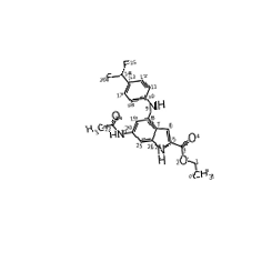 CCOC(=O)c1cc2c(Nc3ccc(C(F)F)cc3)cc(NC(C)=O)cc2[nH]1